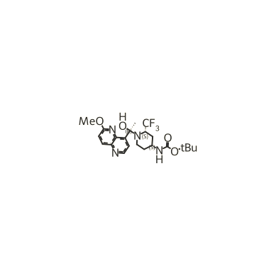 COc1ccc2nccc([C@@](C)(O)N3CC[C@H](NC(=O)OC(C)(C)C)C[C@H]3C(F)(F)F)c2n1